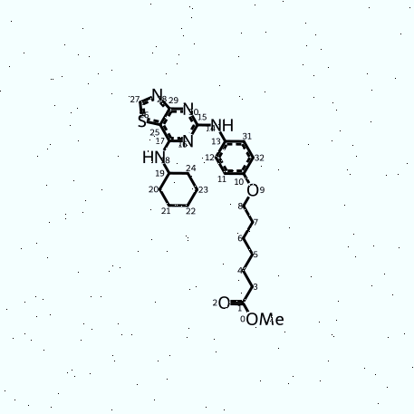 COC(=O)CCCCCCOc1ccc(Nc2nc(NC3CCCCC3)c3scnc3n2)cc1